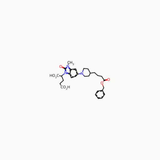 Cn1c(=O)n(C(CCC(=O)O)C(=O)O)c2ccc(N3CCC(CCCC(=O)OCc4ccccc4)CC3)cc21